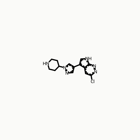 Clc1cc2c(-c3cnn(C4CCNCC4)c3)c[nH]c2nn1